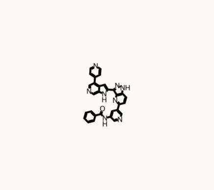 O=C(Nc1cncc(-c2ccc3[nH]nc(-c4cc5c(-c6ccncc6)cncc5[nH]4)c3n2)c1)c1ccccc1